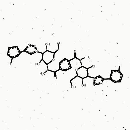 CN(C(=O)c1ccc(C(=O)N(C)[C@@H]2OC(CO)[C@H](O)C(n3cc(-c4cccc(F)c4)nn3)C2O)cc1)[C@@H]1OC(CO)[C@H](O)C(n2cc(-c3cccc(F)c3)nn2)C1O